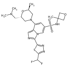 C[C@H]1CN(c2cc(S(=O)(=O)NC3(C)COC3)cn3c(-c4nnc(C(F)F)s4)ncc23)C[C@H](CN(C)C)O1